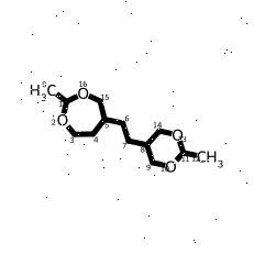 CC1OCCC(CCC2COC(C)OC2)CO1